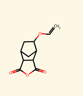 C=COC1CC2CC1C1C(=O)OC(=O)C21